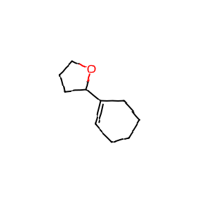 C1=C(C2CCCO2)CCCC1